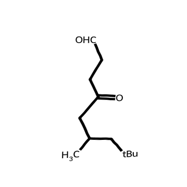 CC(CC(=O)CCC=O)CC(C)(C)C